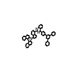 c1ccc(-c2cc(-c3ccccc3)cc(-c3ccc(-c4nc(-c5cccc6c(-n7c8ccc9ccccc9c8c8c9ccccc9ccc87)cccc56)nc5ccccc45)cc3)c2)cc1